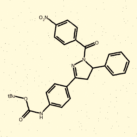 CC(C)(C)OC(=O)Nc1ccc(C2=NN(C(=O)c3ccc([N+](=O)[O-])cc3)C(c3ccccc3)C2)cc1